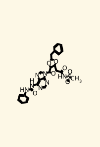 CS(=O)(=O)NC(=O)C1OC(n2cnc3c(NC(=O)Nc4ccccc4)ncnc32)C2OC(Cc3ccccc3)OC12